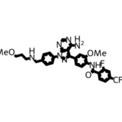 COCCCNCc1ccc(-n2nc(-c3ccc(NC(=O)c4ccc(C(F)(F)F)cc4F)c(OC)c3)c3c(N)ncnc32)cc1